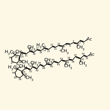 CC(=O)/C=C/C(C)=C/C=C/C(C)=C/C=C/C=C(C)/C=C/C=C(C)/C=C/C1=C(C)CCCC1(C)C.CC(=O)/C=C/C(C)=C/C=C/C(C)=C/C=C/C=C(C)/C=C/C=C(C)/C=C/C1=C(C)CCCC1(C)C